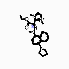 CCOC(=O)/C(=N\N(C)c1ccc(N2CCCC2)c2ccccc12)c1n(C)cc[n+]1C